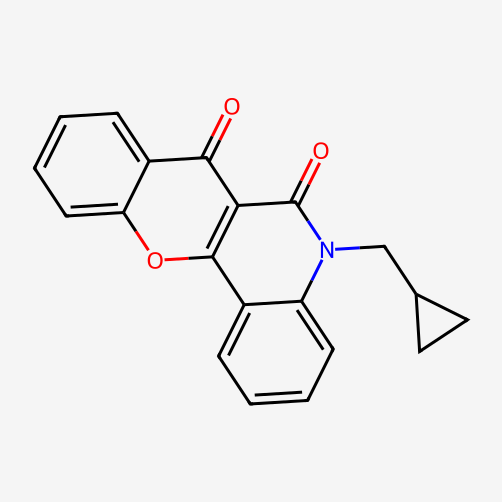 O=c1c2ccccc2oc2c1c(=O)n(CC1CC1)c1ccccc21